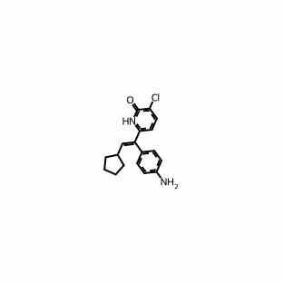 Nc1ccc(/C(=C\C2CCCC2)c2ccc(Cl)c(=O)[nH]2)cc1